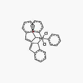 [Cl][Hf]([Cl])([c]1ccccc1)([c]1ccccc1)([CH]1C=Cc2ccccc21)[CH]1C=Cc2ccccc21